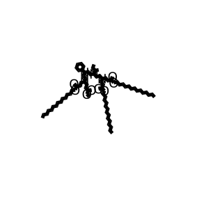 CCCCCCCCCCCCCCOC(=O)CCN(CCC(=O)OCCCCCCCCCCCCCC)CCN(CCN(CCN(CCC(=O)OC)CCC(=O)OCCCCCCCCCCCCCC)C1CCCCC1)C(C)CC